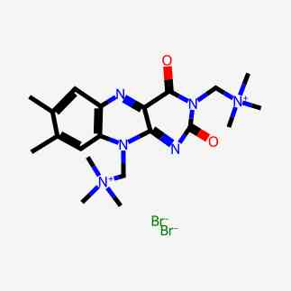 Cc1cc2nc3c(=O)n(C[N+](C)(C)C)c(=O)nc-3n(C[N+](C)(C)C)c2cc1C.[Br-].[Br-]